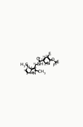 Cc1nn2ccn(C)c2c1CNC(=O)c1cnc(OC(F)F)c(F)c1